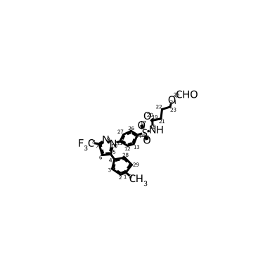 Cc1ccc(-c2cc(C(F)(F)F)nn2-c2ccc(S(=O)(=O)NC(=O)CCCOC=O)cc2)cc1